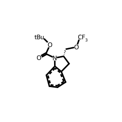 CC(C)(C)OC(=O)N1c2ccccc2C[C@H]1COC(F)(F)F